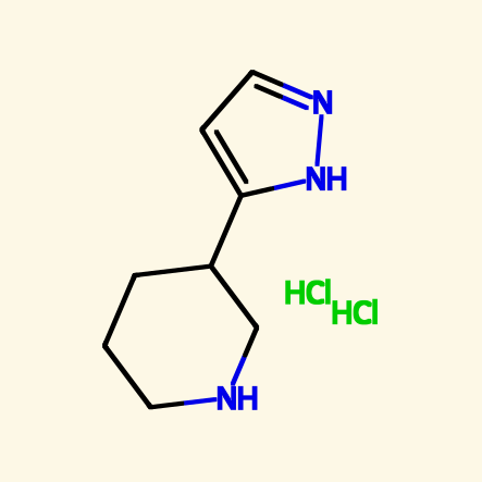 Cl.Cl.c1cc(C2CCCNC2)[nH]n1